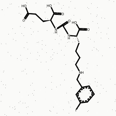 O=C(O)CC[C@H](NC(=O)N[C@@H](CCCCNCc1cccc(I)c1)C(=O)O)C(=O)O